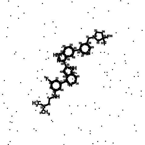 CN(C)CCNc1cc(F)cc(-c2nccc3[nH]c(-c4n[nH]c5ccc(-c6cncc(CN7CCC(F)(F)C7)c6)cc45)cc23)c1